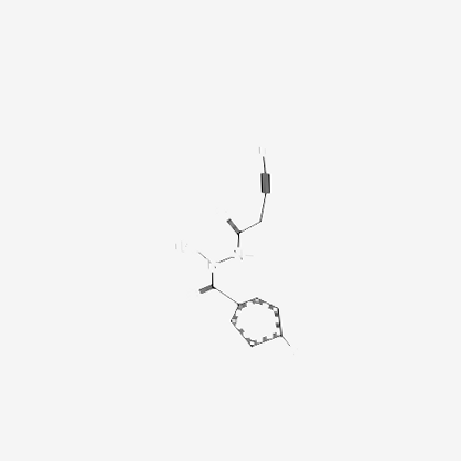 CCCC#CCC(=O)NN(C(=O)c1ccc(Cl)cc1)C(C)(C)C